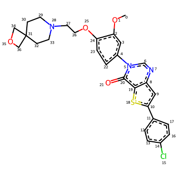 COc1cc(-n2cnc3cc(-c4ccc(Cl)cc4)sc3c2=O)ccc1OCCN1CCC2(CC1)COC2